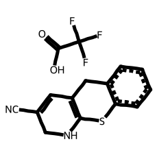 N#CC1=CC2=C(NC1)Sc1ccccc1C2.O=C(O)C(F)(F)F